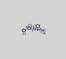 Cc1ccc(CNC(=O)OC(C)(C)C)cc1C(=O)NC(C)c1cc(Cl)nc(-c2cccc(Cl)c2)c1